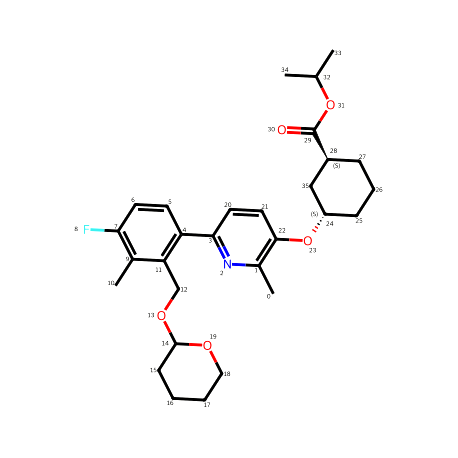 Cc1nc(-c2ccc(F)c(C)c2COC2CCCCO2)ccc1O[C@H]1CCC[C@H](C(=O)OC(C)C)C1